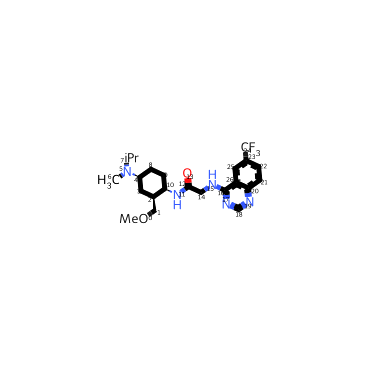 COC[C@H]1C[C@H](N(C)C(C)C)CC[C@@H]1NC(=O)CNc1ncnc2ccc(C(F)(F)F)cc12